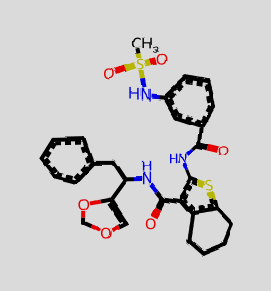 CS(=O)(=O)Nc1cccc(C(=O)Nc2sc3c(c2C(=O)NC(Cc2ccccc2)C2=COCO2)CCCC3)c1